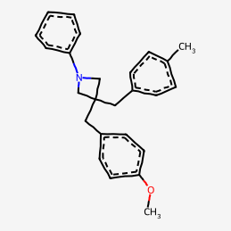 COc1ccc(CC2(Cc3ccc(C)cc3)CN(c3ccccc3)C2)cc1